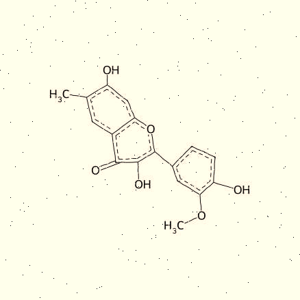 COc1cc(-c2oc3cc(O)c(C)cc3c(=O)c2O)ccc1O